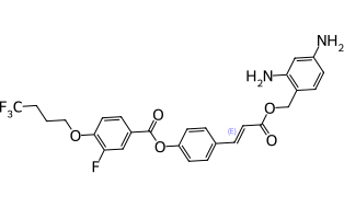 Nc1ccc(COC(=O)/C=C/c2ccc(OC(=O)c3ccc(OCCCC(F)(F)F)c(F)c3)cc2)c(N)c1